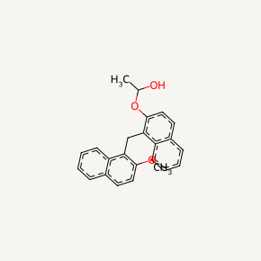 COc1ccc2ccccc2c1Cc1c(OC(C)O)ccc2ccccc12